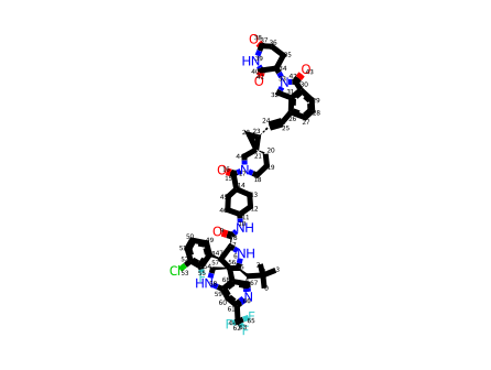 CC(C)(C)C[C@@H]1N[C@@H](C(=O)NC2CCC(C(=O)N3CCC[C@@]4(C[C@@H]4C#Cc4cccc5c4CN(C4CCC(=O)NC4=O)C5=O)C3)CC2)[C@H](c2cccc(Cl)c2F)[C@]12CNc1cc(C(F)(F)F)ncc12